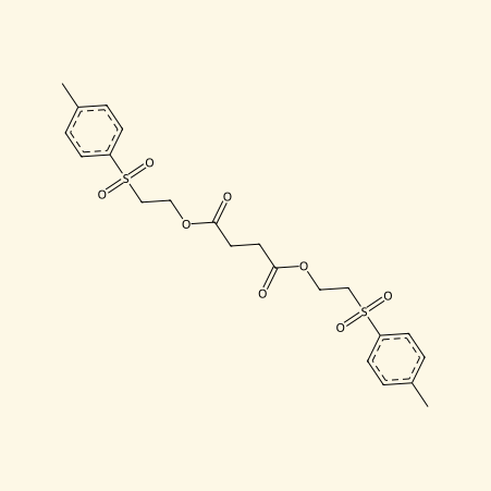 Cc1ccc(S(=O)(=O)CCOC(=O)CCC(=O)OCCS(=O)(=O)c2ccc(C)cc2)cc1